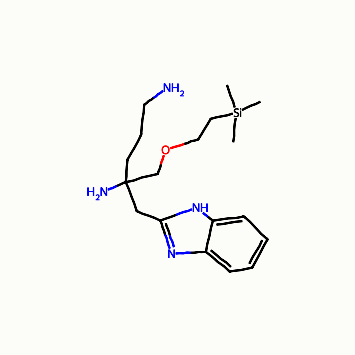 C[Si](C)(C)CCOCC(N)(CCCN)Cc1nc2ccccc2[nH]1